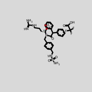 N=C(N)NCCC[C@H](C(N)=O)N(Cc1ccc(CNS(N)(=O)=O)cc1)C(=O)C(c1ccccc1)c1ccccc1.O=C(O)C(F)(F)F